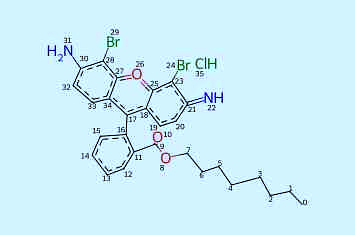 CCCCCCCCOC(=O)c1ccccc1-c1c2ccc(=N)c(Br)c-2oc2c(Br)c(N)ccc12.Cl